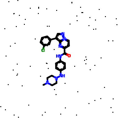 CN1CCN(Nc2ccc(NC(=O)c3ccn4ncc(-c5cccc(Cl)c5)c4n3)cc2)CC1